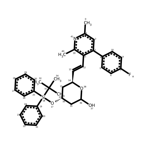 Cc1cc(-c2ccc(F)cc2)c(C=C[C@@H]2C[C@@H](O[Si](c3ccccc3)(c3ccccc3)C(C)(C)C)CC(O)O2)c(C)n1